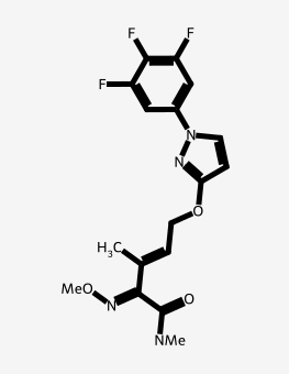 CNC(=O)C(=N/OC)/C(C)=C/COc1ccn(-c2cc(F)c(F)c(F)c2)n1